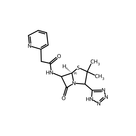 CC1(C)S[C@@H]2C(NC(=O)Cc3ccccn3)C(=O)N2C1c1nnn[nH]1